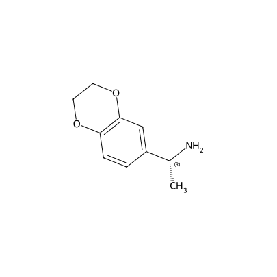 C[C@@H](N)c1ccc2c(c1)OCCO2